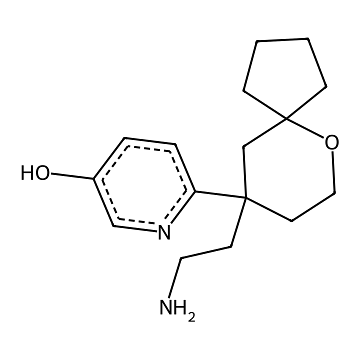 NCCC1(c2ccc(O)cn2)CCOC2(CCCC2)C1